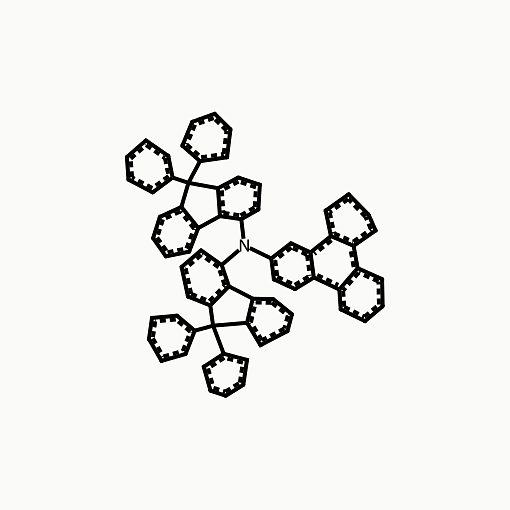 c1ccc(C2(c3ccccc3)c3ccccc3-c3c(N(c4ccc5c6ccccc6c6ccccc6c5c4)c4cccc5c4-c4ccccc4C5(c4ccccc4)c4ccccc4)cccc32)cc1